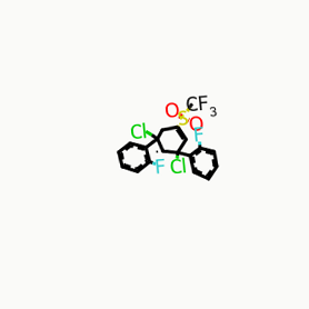 O=S(=O)(C1=CC(Cl)(c2ccccc2F)[CH]C(Cl)(c2ccccc2F)C1)C(F)(F)F